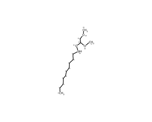 CCCCCCCCCC[SiH]OC(COC)OC